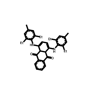 CCc1cc(C)cc(CC)c1NC1=CC=C(Nc2c(CC)cc(C)cc2CC)C2C(=O)c3ccccc3C(=O)C12